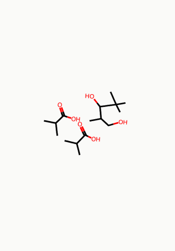 CC(C)C(=O)O.CC(C)C(=O)O.CC(CO)C(O)C(C)(C)C